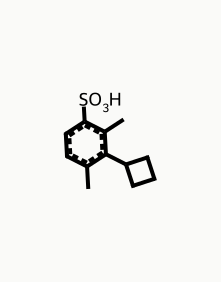 Cc1ccc(S(=O)(=O)O)c(C)c1C1CCC1